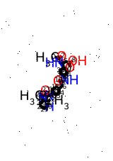 CC(=O)NC(CC(=O)O)c1ccc(NC(=O)Cc2ccc(NC(=O)N(C)c3ccccc3C)cc2)cc1